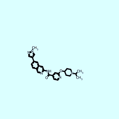 CC(C)N1CCC(Oc2cc(C(=O)Nc3cc4cc(-c5cnn(C)c5)ccc4cn3)ccn2)CC1